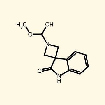 COC(O)N1CC2(C1)C(=O)Nc1ccccc12